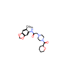 COc1cc2c(cc1NC(=O)CN1CCN(C(=O)C3CCCCO3)CC1)OCO2